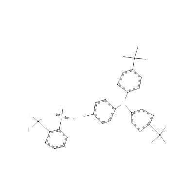 CC(C)(C)c1ccc([S+](c2ccc(O)cc2)c2ccc(C(C)(C)C)cc2)cc1.O=S(=O)([O-])c1ccccc1C(F)(F)F